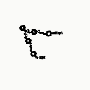 CCCCCCCC1CCC(CCCOc2ccc(COC[C@H](OCc3ccc(OCCCC4CCC(CCCCCCC)CC4)cc3)c3ccccc3)cc2)CC1